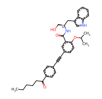 CCCCCC(=O)c1ccc(C#Cc2ccc(OC(C)C)c(C(=O)N[C@@H](CO)Cc3c[nH]c4ccccc34)c2)cc1